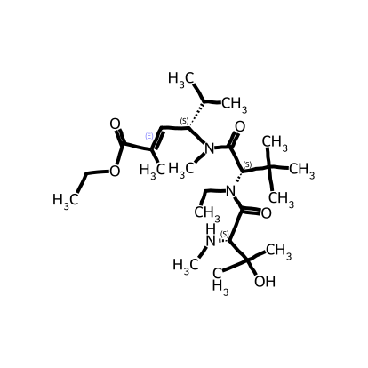 CCOC(=O)/C(C)=C/[C@H](C(C)C)N(C)C(=O)[C@@H](N(CC)C(=O)[C@@H](NC)C(C)(C)O)C(C)(C)C